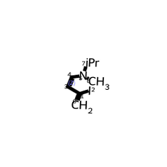 C=C(I)/C=C\N(C)C(C)C